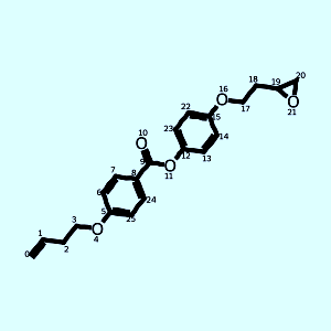 C=CCCOc1ccc(C(=O)Oc2ccc(OCCC3CO3)cc2)cc1